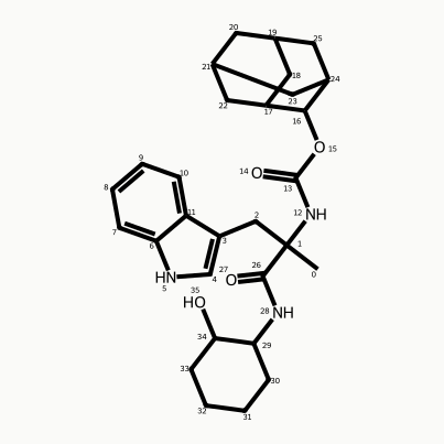 CC(Cc1c[nH]c2ccccc12)(NC(=O)OC1C2CC3CC(C2)CC1C3)C(=O)NC1CCCCC1O